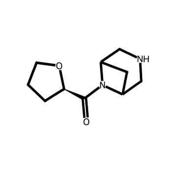 O=C([C@H]1CCCO1)N1C2CNCC1C2